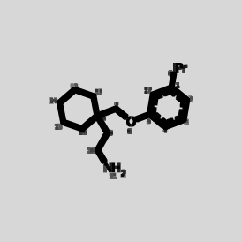 CC(C)c1cccc(OCC2(CCN)CCCCC2)c1